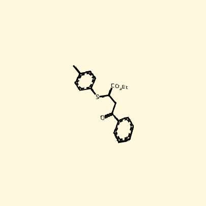 CCOC(=O)C(CC(=O)c1ccccc1)Sc1ccc(C)cc1